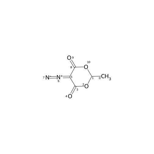 CC1OC(=O)C(=[N+]=[N-])C(=O)O1